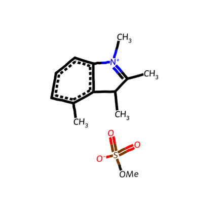 CC1=[N+](C)c2cccc(C)c2C1C.COS(=O)(=O)[O-]